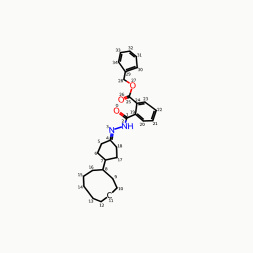 O=C(NN=C1CCC(C2CCCCCCCC2)CC1)c1ccccc1C(=O)OCc1ccccc1